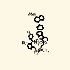 CCn1c2c(c3ccccc31)CCSC2(C)CCN(C)C.CNCc1ccccc1C(O)c1ccc(Cl)cc1.CN[C@@H]1CC[C@@H](c2ccccc2)c2ccccc21.[Cl-].[Rb+]